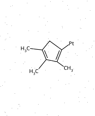 CC1=C(C)C(C)=[C]([Pt])C1